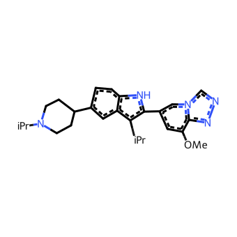 COc1cc(-c2[nH]c3ccc(C4CCN(C(C)C)CC4)cc3c2C(C)C)cn2cnnc12